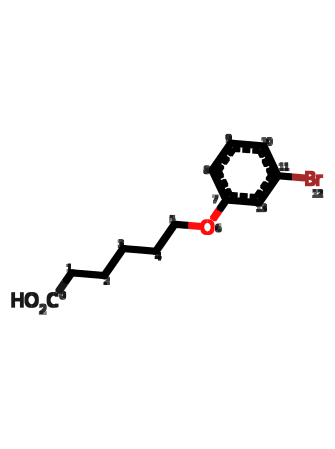 O=C(O)CCCCCOc1cccc(Br)c1